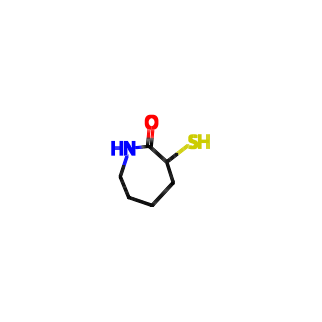 O=C1NCCCCC1S